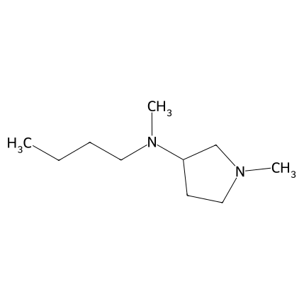 CCCCN(C)C1CCN(C)C1